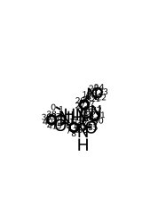 CC[C@H](NC(=O)c1ccc2c(c1)C(=C(Nc1ccc(CN3CCCCC3)cc1)c1cccnc1)C(=O)N2)c1ccccc1